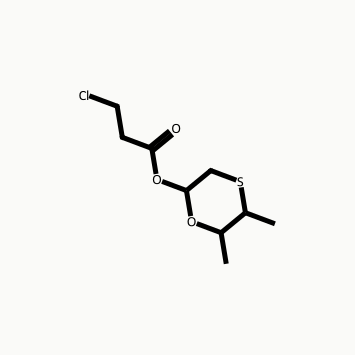 CC1OC(OC(=O)CCCl)CSC1C